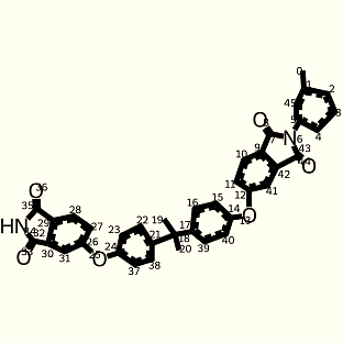 Cc1cccc(N2C(=O)c3ccc(Oc4ccc(C(C)(C)c5ccc(Oc6ccc7c(c6)C(=O)NC7=O)cc5)cc4)cc3C2=O)c1